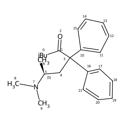 CCC(C)C(=O)C(C[C@H](C)N(C)C)(c1ccccc1)c1ccccc1